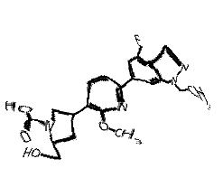 CCn1ncc2c(F)cc(-c3ccc(C4CC(CO)N(C(=O)O)C4)c(OC)n3)cc21